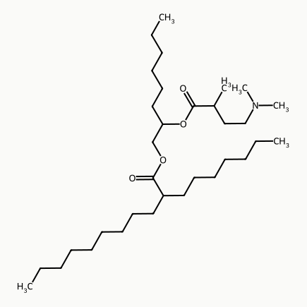 CCCCCCCCCC(CCCCCCC)C(=O)OCC(CCCCCC)OC(=O)C(C)CCN(C)C